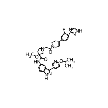 CO[C@@]1(C(=O)Nc2ccc3[nH]nc(-c4ccc(OC(C)C)nc4)c3c2)CCN(CC(=O)N2CC=C(c3ccc(-c4nc[nH]n4)c(F)c3)CC2)C1